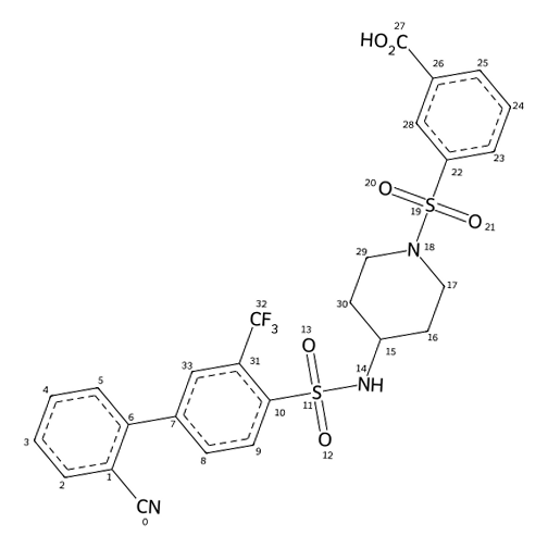 N#Cc1ccccc1-c1ccc(S(=O)(=O)NC2CCN(S(=O)(=O)c3cccc(C(=O)O)c3)CC2)c(C(F)(F)F)c1